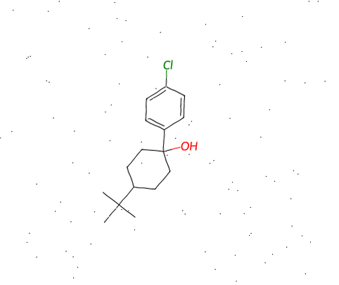 CC(C)(C)C1CCC(O)(c2ccc(Cl)cc2)CC1